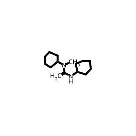 C=C(NC1CCCCC1)N(C)C1CCCCC1